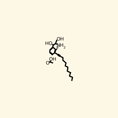 CC(=O)O.CCCCCCCCCCC#Cc1cccc(C(O)C(N)CO)c1F